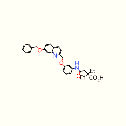 CCC(CC)(CC(=O)Nc1cccc(OCc2ccc3ccc(OCc4ccccc4)cc3n2)c1)C(=O)O